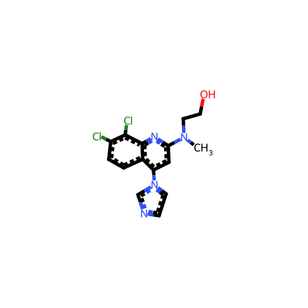 CN(CCO)c1cc(-n2ccnc2)c2ccc(Cl)c(Cl)c2n1